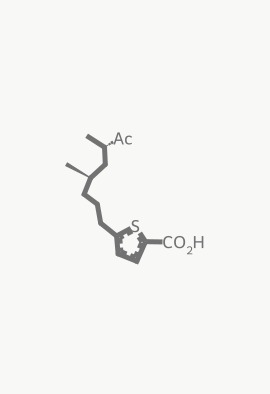 CC(=O)[C@@H](C)C[C@H](C)CCCc1ccc(C(=O)O)s1